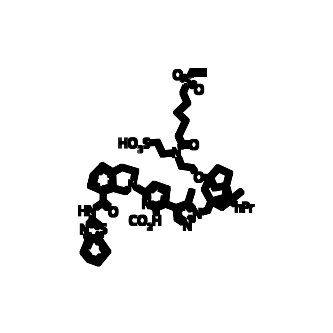 C=CS(=O)(=O)CCCCCC(=O)N(CCOC12CCC3(CC(Cn4ncc(-c5ccc(N6CCc7cccc(C(=O)Nc8nc9ccccc9s8)c7C6)nc5C(=O)O)c4C)(C1)CC3(C)CCC)C2)CCS(=O)(=O)O